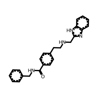 O=C(NCc1ccccc1)c1ccc(CCNCc2nc3ccccc3[nH]2)cc1